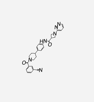 N#Cc1cccc(C(=O)N2CCC(c3ccc(NC(=O)C4CN(c5cccnn5)C4)cc3)CC2)c1